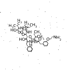 CC[C@H](C)[C@H](NC(=O)C[C@H](O)[C@H](Cc1ccccc1)NC(=O)[C@@H](NC(=O)Cc1cccc(OCCN)c1)[C@@H](C)CC)C(=O)N[C@H](C(=O)O)C(C)C